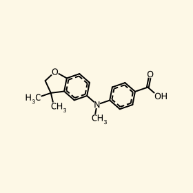 CN(c1ccc(C(=O)O)cc1)c1ccc2c(c1)C(C)(C)CO2